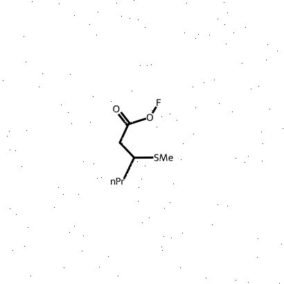 CCCC(CC(=O)OF)SC